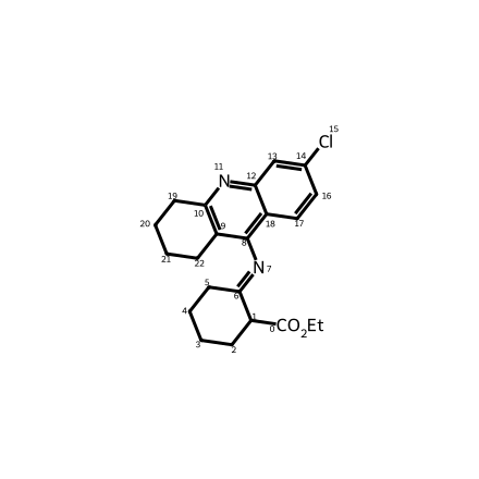 CCOC(=O)C1CCCCC1=Nc1c2c(nc3cc(Cl)ccc13)CCCC2